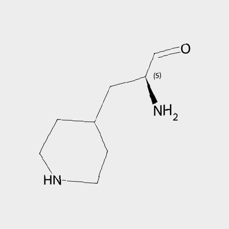 N[C@H](C=O)CC1CCNCC1